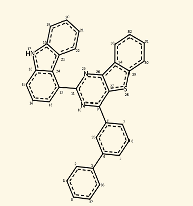 c1ccc(-c2cccc(-c3nc(-c4cccc5[nH]c6ccccc6c45)nc4c3sc3ccccc34)c2)cc1